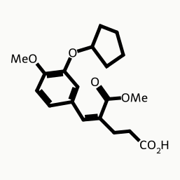 COC(=O)/C(=C\c1ccc(OC)c(OC2CCCC2)c1)CCC(=O)O